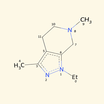 CCn1nc(C)c2c1CN(C)CC2